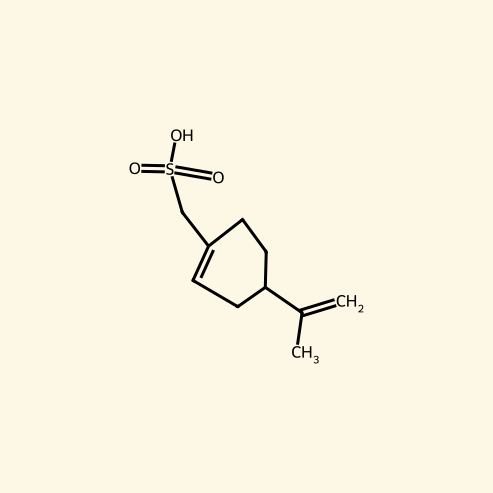 C=C(C)C1CC=C(CS(=O)(=O)O)CC1